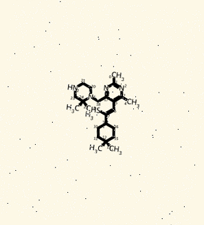 Cc1nc(C)c(/C=C(\S)C2CCC(C)(C)CC2)c(CN2CCNCC2(C)C)n1